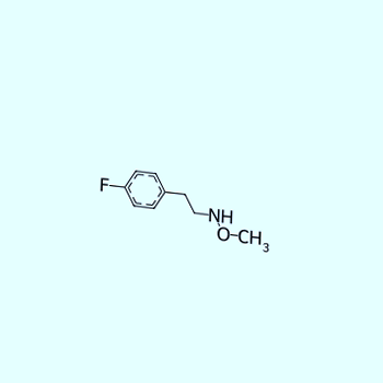 CONCCc1ccc(F)cc1